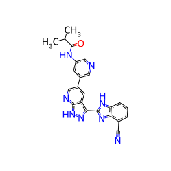 CC(C)C(=O)Nc1cncc(-c2cnc3[nH]nc(-c4nc5c(C#N)cccc5[nH]4)c3c2)c1